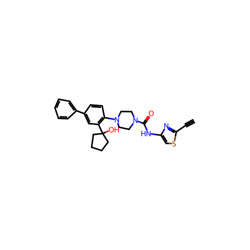 C#Cc1nc(NC(=O)N2CCN(c3ccc(-c4ccccc4)cc3C3(O)CCCC3)CC2)cs1